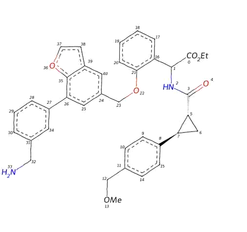 CCOC(=O)C(NC(=O)[C@@H]1C[C@H]1c1ccc(COC)cc1)c1ccccc1OCc1cc(-c2cccc(CN)c2)c2occc2c1